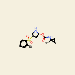 CCc1ccccc1S(=O)(=O)[C@H]1CN[C@@H](OC(=O)NC2(C#N)CC2)C1